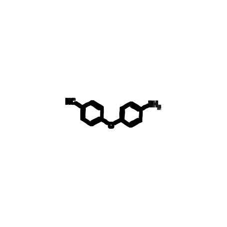 Bc1ccc(Oc2ccc(C#N)cc2)cc1